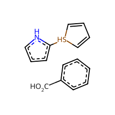 C1=C[SH](c2ccc[nH]2)C=C1.O=C(O)c1ccccc1